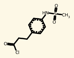 CS(=O)(=O)Nc1ccc(CCC(=O)Cl)cc1